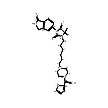 CC1(C)C(=O)N(c2ccc3c(c2)COC3=O)C(=S)N1CCCCCCN1CCN(C(=O)c2cccs2)CC1